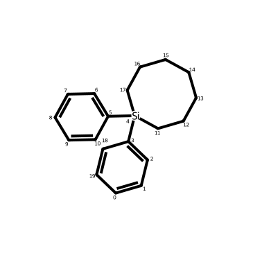 c1ccc([Si]2(c3ccccc3)CCCCCCC2)cc1